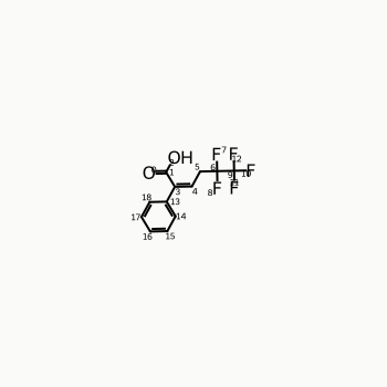 O=C(O)C(=CCC(F)(F)C(F)(F)F)c1ccccc1